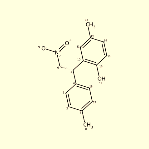 Cc1ccc([C@H](C[N+](=O)[O-])c2cc(C)ccc2O)cc1